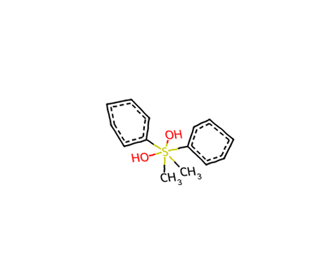 CS(C)(O)(O)(c1ccccc1)c1ccccc1